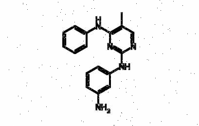 Cc1cnc(Nc2cccc(N)c2)nc1Nc1ccccc1